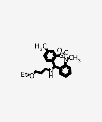 CCOCCCNC1c2ccccc2N(C)S(=O)(=O)c2cc(C)ccc21